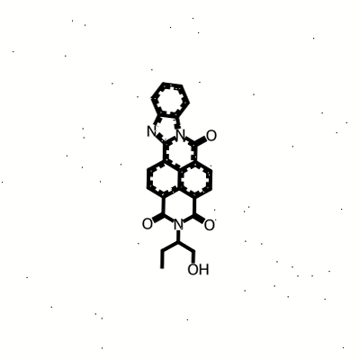 CCC(CO)N1C(=O)c2ccc3c(=O)n4c5ccccc5nc4c4ccc(c2c34)C1=O